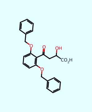 O=C(CC(O)C(=O)O)c1c(OCc2ccccc2)cccc1OCc1ccccc1